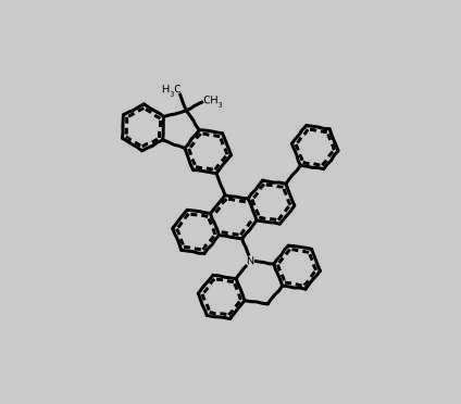 CC1(C)c2ccccc2-c2cc(-c3c4ccccc4c(N4c5ccccc5Cc5ccccc54)c4ccc(-c5ccccc5)cc34)ccc21